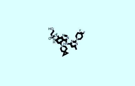 Cc1cc(Nc2ncnc3c(F)c(NS(=O)(=O)CCO)cc(N4CCC5(CC4)CC5)c23)nc(N2CCC(F)(F)CC2)n1